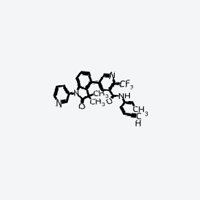 C#C/C=C\C(=C/C)NC(=O)c1cc(-c2cccc3c2C(C)(C)C(=O)N3c2cccnc2)cnc1C(F)(F)F